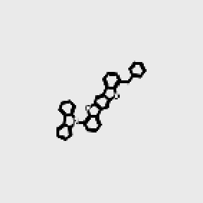 c1ccc(Cc2cccc3c2oc2cc4c(cc23)oc2c(-n3c5ccccc5c5ccccc53)cccc24)cc1